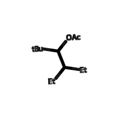 CCC(CC)C(OC(C)=O)C(C)(C)C